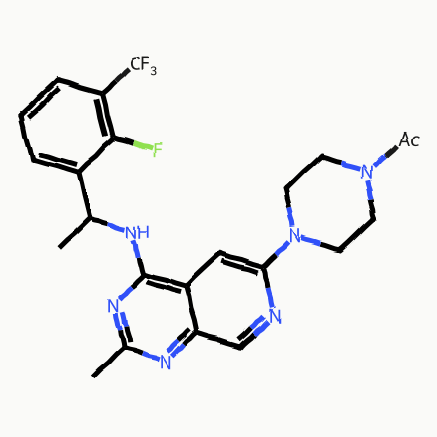 CC(=O)N1CCN(c2cc3c(NC(C)c4cccc(C(F)(F)F)c4F)nc(C)nc3cn2)CC1